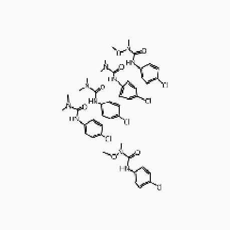 CN(C)C(=O)Nc1ccc(Cl)cc1.CN(C)C(=O)Nc1ccc(Cl)cc1.CN(C)C(=O)Nc1ccc(Cl)cc1.CON(C)C(=O)Nc1ccc(Cl)cc1.CON(C)C(=O)Nc1ccc(Cl)cc1